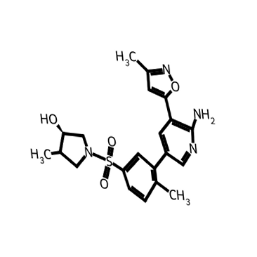 Cc1cc(-c2cc(-c3cc(S(=O)(=O)N4CC(C)[C@@H](O)C4)ccc3C)cnc2N)on1